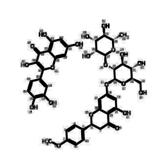 COc1ccc([C@@H]2CC(=O)c3c(O)cc(O[C@@H]4O[C@H](CO)[C@@H](O)[C@H](O)[C@H]4O[C@@H]4O[C@@H](C)[C@H](O)[C@@H](O)[C@H]4O)cc3O2)cc1.O=c1c(O)c(-c2ccc(O)c(O)c2)oc2cc(O)cc(O)c12